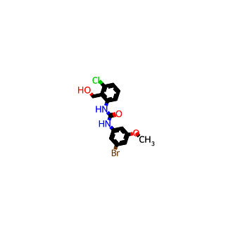 COc1cc(Br)cc(NC(=O)Nc2cccc(Cl)c2CO)c1